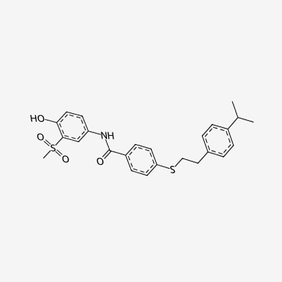 CC(C)c1ccc(CCSc2ccc(C(=O)Nc3ccc(O)c(S(C)(=O)=O)c3)cc2)cc1